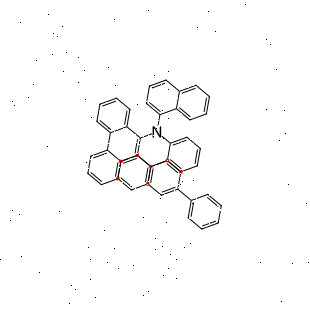 c1ccc(-c2ccc(-c3c(N(c4ccccc4-c4ccccc4)c4cccc5ccccc45)c4ccccc4c4ccccc34)cc2)cc1